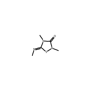 C/N=c1\sn(C)c(=O)n1C